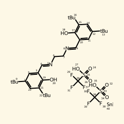 CC(C)(C)c1cc(C=NCCN=Cc2cc(C(C)(C)C)cc(C(C)(C)C)c2O)c(O)c(C(C)(C)C)c1.O=S(=O)(O)C(F)(F)F.O=S(=O)(O)C(F)(F)F.[Sn]